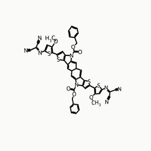 COc1cc(N=C(C#N)C#N)sc1-c1cc2c(s1)c1c(n2C(=O)OCc2ccccc2)=CC2C=c3c(n(C(=O)OCc4ccccc4)c4cc(-c5sc(N=C(C#N)C#N)cc5OC)sc34)=CC2C=1